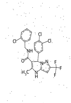 CC1=C(C(=O)NCc2ccccc2Cl)C(c2ccc(Cl)c(Cl)c2)n2nc(C(F)(F)F)cc2N1